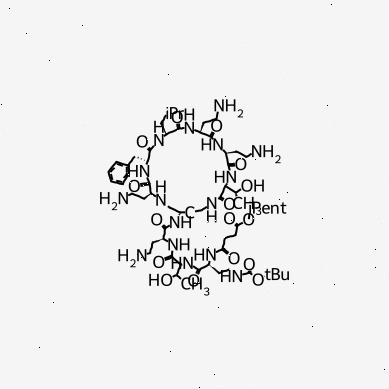 CCCC(C)OC(=O)CCC(=O)N[C@@H](CCNC(=O)OC(C)(C)C)C(=O)N[C@H](C(=O)N[C@@H](CCN)C(=O)N[C@H]1CCNC(=O)[C@H]([C@H](C)O)NC(=O)[C@H](CCN)NC(=O)[C@H](CCN)NC(=O)[C@H](CC(C)C)NC(=O)[C@@H](Cc2ccccc2)NC(=O)[C@H](CCN)NC1)C(C)O